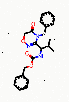 CC(C)C(NC(=O)OCc1ccccc1)C1=NOCC(=O)N1Cc1ccccc1